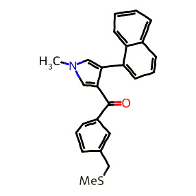 CSCc1cccc(C(=O)c2cn(C)cc2-c2cccc3ccccc23)c1